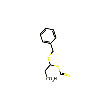 O=C(O)CC(SC=S)SCc1ccccc1